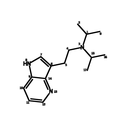 CC(C)N(CCc1c[nH]c2cccnc12)C(C)C